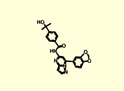 CC(C)(O)c1ccc(C(=O)Nc2cc(-c3ccc4c(c3)OCO4)n3nccc3n2)cc1